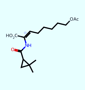 CC(=O)OCCCCC/C=C(\NC(=O)C1CC1(C)C)C(=O)O